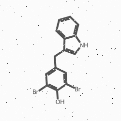 Oc1c(Br)cc(Cc2c[nH]c3ccccc23)cc1Br